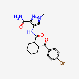 Cn1cc(NC(=O)[C@@H]2CCCC[C@H]2C(=O)c2ccc(Br)cc2)c(C(N)=O)n1